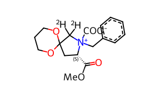 [2H]C1([2H])C2(C[C@@H](C(=O)OC)[N+]1(Cc1ccccc1)C(=O)[O-])OCCCO2